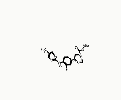 CC(C)(C)OC(=O)N1CCO[C@@H](c2ccc(Nc3ncc(C(F)(F)F)cn3)c(F)c2)C1